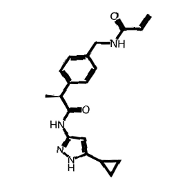 C=CC(=O)NCc1ccc([C@H](C)C(=O)Nc2cc(C3CC3)[nH]n2)cc1